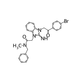 CN(Cc1ccccc1)C(=O)Cn1c(=N)n(CC(=O)c2ccc(Br)cc2)c2ccccc21